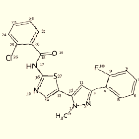 Cn1nc(-c2ccccc2F)cc1-c1cnc(NC(=O)c2ccccc2Cl)s1